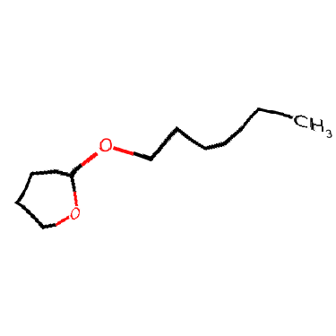 CCCCCOC1CCCO1